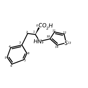 O=C(O)[C@H](Cc1ccccc1)Nc1ccsc1